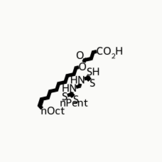 CCCCCCCC/C=C\CCCCCCCCOC(=O)CCC(=O)O.CCCCCSC(=S)NCNC(=S)S